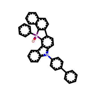 O=P1(c2ccccc2)c2c(ccc3ccccc23)-c2ccc3c(c21)c1ccccc1n3-c1ccc(-c2ccccc2)cc1